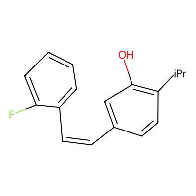 CC(C)c1ccc(/C=C\c2ccccc2F)cc1O